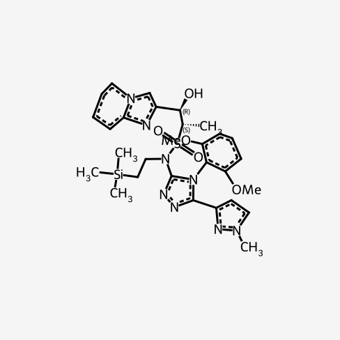 COc1cccc(OC)c1-n1c(-c2ccn(C)n2)nnc1N(CC[Si](C)(C)C)S(=O)(=O)[C@@H](C)[C@H](O)c1cn2ccccc2n1